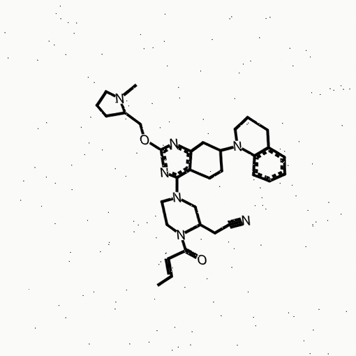 CC=CC(=O)N1CCN(c2nc(OCC3CCCN3C)nc3c2CCC(N2CCCc4ccccc42)C3)CC1CC#N